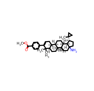 COC(=O)c1ccc(C2=CC[C@]3(C)[C@H]4CC[C@@H]5[C@H]6[C@H](C7(C)CC7)CC[C@]6(N)CC[C@@]5(C)[C@]4(C)CC[C@H]3C2(C)C)cc1